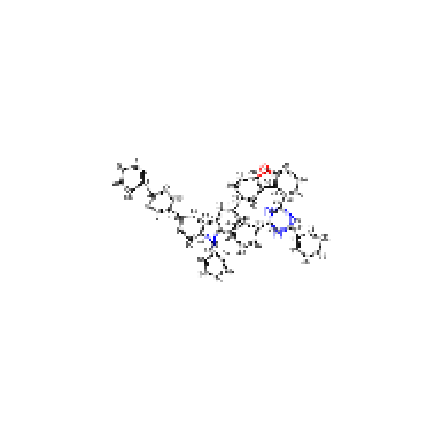 c1ccc(-c2ccc(-c3ccc4c(c3)c3cc(-c5ccc6oc7cccc(-c8nc(-c9ccccc9)nc(-c9ccccc9)n8)c7c6c5)ccc3n4-c3ccccc3)cc2)cc1